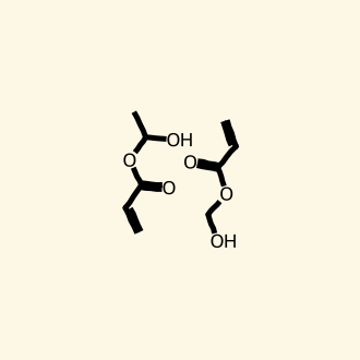 C=CC(=O)OC(C)O.C=CC(=O)OCO